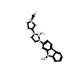 Cn1c2ccccc2c2ccc(N3CCN(C4CCN(C#N)C4)[S+]3[O-])cc21